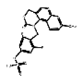 COc1ccc2c3c(cnc2n1)COC(=O)N3Cc1c(F)cc(OS(N)(=O)=O)cc1F